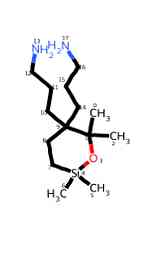 CC1(C)O[Si](C)(C)CCC1(CCCN)CCCN